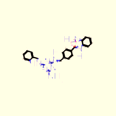 Nc1nc(NCc2ccccc2)nc(NCc2ccc(C(=O)Nc3ccccc3N)cc2)n1